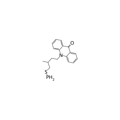 CC(CCn1c2ccccc2c(=O)c2ccccc21)CSP